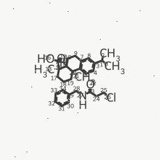 CC(C)c1ccc2c(c1)CC[C@H]1[C@](C)(C(=O)O)CCC[C@]21C.O=C(CCCl)NCc1ccccc1